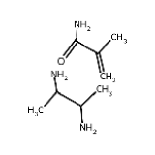 C=C(C)C(N)=O.CC(N)C(C)N